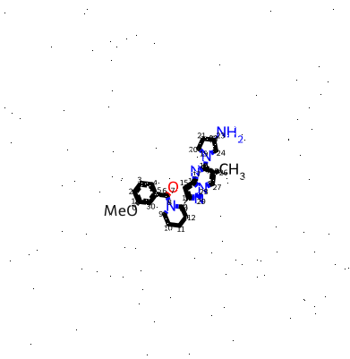 COc1cccc(C(=O)N2CCCC[C@H]2c2cc3nc(N4CC[C@H](N)C4)c(C)cn3n2)c1